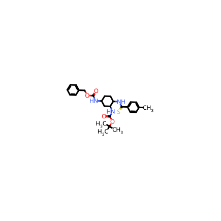 Cc1ccc(C(=S)NC2CCC(NC(=O)OCc3ccccc3)CC2NC(=O)OC(C)(C)C)cc1